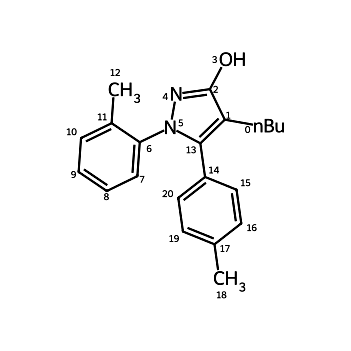 CCCCc1c(O)nn(-c2ccccc2C)c1-c1ccc(C)cc1